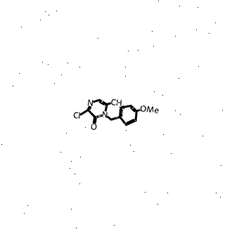 COc1ccc(Cn2c(C)cnc(Cl)c2=O)cc1